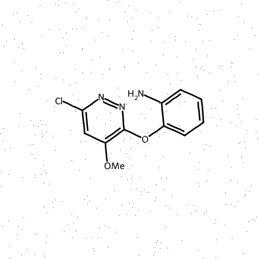 COc1cc(Cl)nnc1Oc1ccccc1N